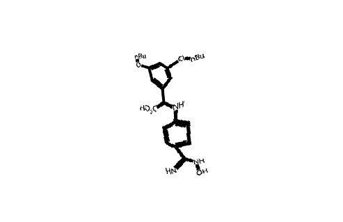 CCCCOc1cc(OCCCC)cc(C(Nc2ccc(C(=N)NO)cc2)C(=O)O)c1